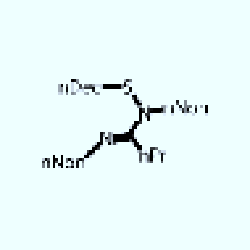 CCCCCCCCCCSN(CCCCCCCCC)C(CCC)=NCCCCCCCCC